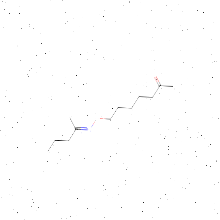 CCC/C(C)=N/OCCCCCC(C)=O